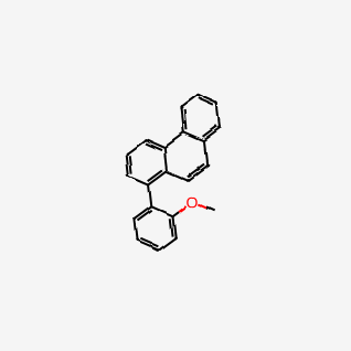 COc1ccccc1-c1cccc2c1ccc1ccccc12